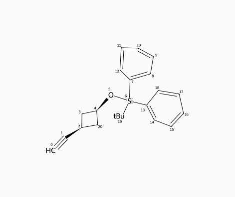 C#C[C@H]1C[C@@H](O[Si](c2ccccc2)(c2ccccc2)C(C)(C)C)C1